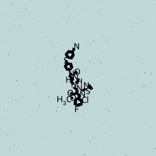 COC(=O)C1=C(CN2CCN3C(=O)N(c4ccc(Sc5ccc(C#N)cc5)cc4)C[C@@H]3C2)NC(c2nccs2)=NC1c1ccc(F)cc1Cl